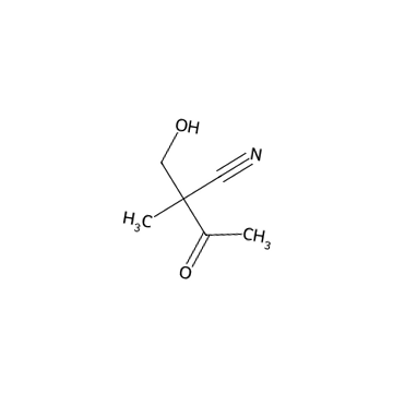 CC(=O)C(C)(C#N)CO